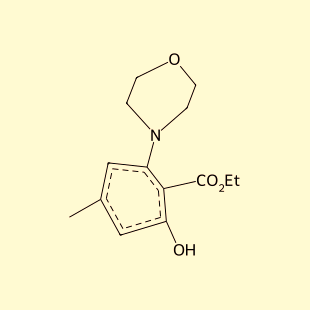 CCOC(=O)c1c(O)cc(C)cc1N1CCOCC1